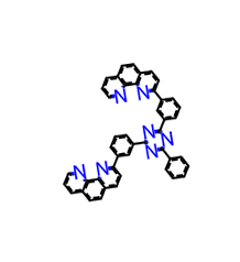 c1ccc(-c2nc(-c3cccc(-c4ccc5ccc6cccnc6c5n4)c3)nc(-c3cccc(-c4ccc5ccc6cccnc6c5n4)c3)n2)cc1